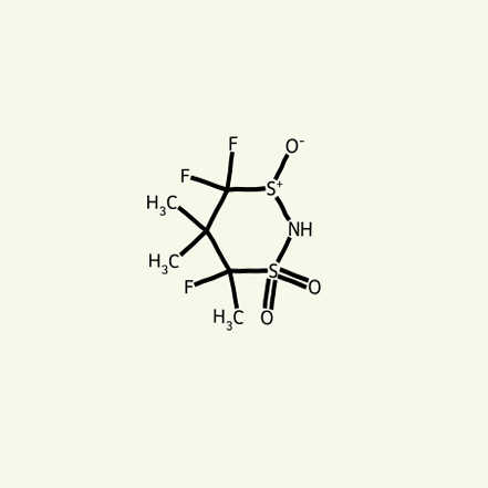 CC1(C)C(F)(F)[S+]([O-])NS(=O)(=O)C1(C)F